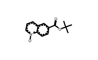 CC(C)(C)OC(=O)c1ccc2c(ccc[n+]2[O-])c1